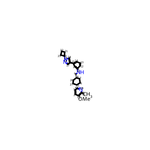 COc1ccc([C@H]2CC[C@H](CNc3cccc(-c4cnn(C5CCC5)c4)c3)CC2)nc1C